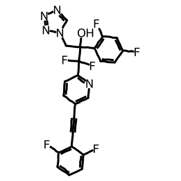 OC(Cn1cnnn1)(c1ccc(F)cc1F)C(F)(F)c1ccc(C#Cc2c(F)cccc2F)cn1